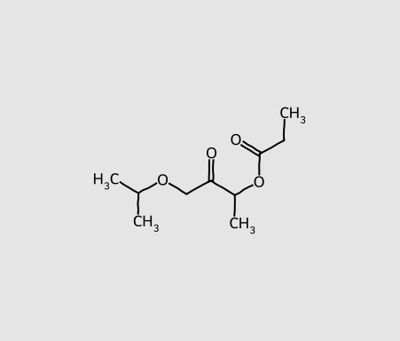 CCC(=O)OC(C)C(=O)COC(C)C